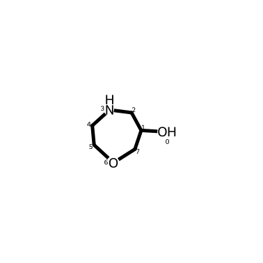 OC1CNCCOC1